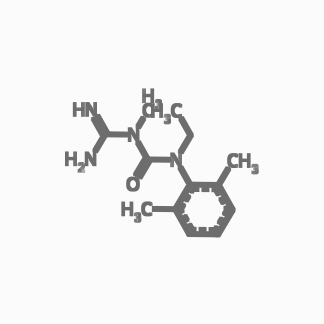 CCN(C(=O)N(C)C(=N)N)c1c(C)cccc1C